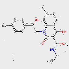 Cc1ccc2c(O)c(C(=O)NCC(=O)O)c(=O)n3c2c1OC(c1ccc(C#N)cc1)C3